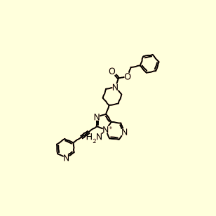 N[N+]12C=CN=CC1=C(C1CCN(C(=O)OCc3ccccc3)CC1)N=C2C#Cc1cccnc1